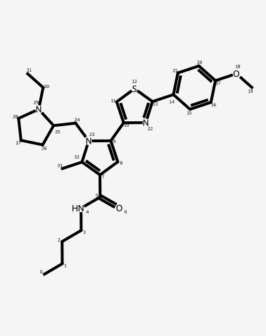 CCCCNC(=O)c1cc(-c2csc(-c3ccc(OC)cc3)n2)n(CC2CCCN2CC)c1C